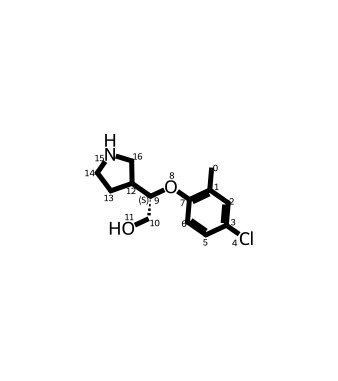 Cc1cc(Cl)ccc1O[C@H](CO)C1CCNC1